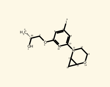 C[C@@H](O)COc1cc(I)cc(N2CCOC3CC32)n1